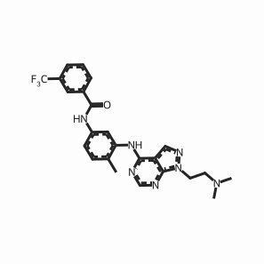 Cc1ccc(NC(=O)c2cccc(C(F)(F)F)c2)cc1Nc1ncnc2c1cnn2CCN(C)C